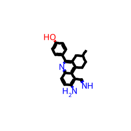 CC1CCc2c(c(-c3ccc(O)cc3)nc3ccc(N)c(C=N)c23)C1